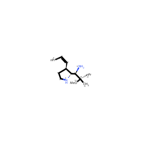 CCC/C=C\[C@@H]1CCN[C@H]1[C@@H](N)[C@](C)(CCC)OC